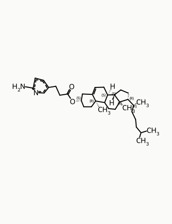 CC(C)CCC[C@@H](C)[C@H]1CC[C@H]2[C@@H]3CC=C4C[C@@H](OC(=O)CCc5ccc(N)nc5)CC[C@]4(C)C3CC[C@]12C